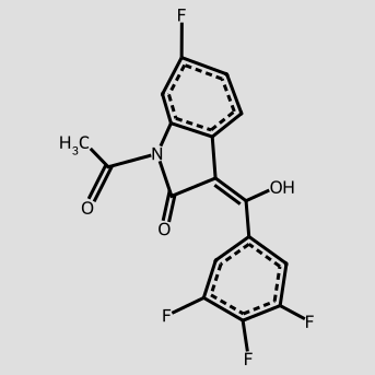 CC(=O)N1C(=O)C(=C(O)c2cc(F)c(F)c(F)c2)c2ccc(F)cc21